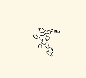 CC(C)(C)Oc1ccc2c(c1)-c1ccccc1C21c2ccccc2-c2c(N(c3ccccc3)c3ccc4ccc5ccccc5c4c3)cc(Cl)cc21